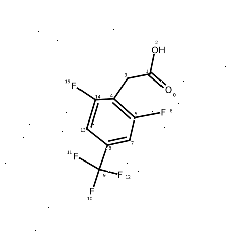 O=C(O)Cc1c(F)cc(C(F)(F)F)cc1F